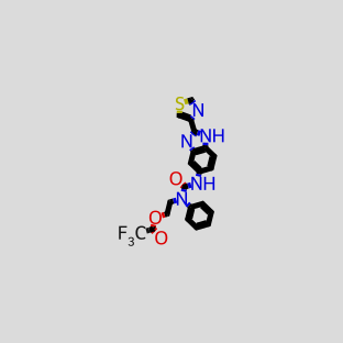 O=C(Nc1ccc2[nH]c(-c3cscn3)nc2c1)N(CCOC(=O)C(F)(F)F)c1ccccc1